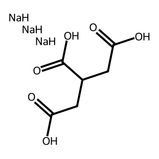 O=C(O)CC(CC(=O)O)C(=O)O.[NaH].[NaH].[NaH]